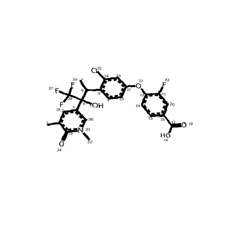 Cc1cc(C(O)(C(C)c2ccc(Oc3ccc(C(=O)O)cc3F)cc2Cl)C(F)(F)F)cn(C)c1=O